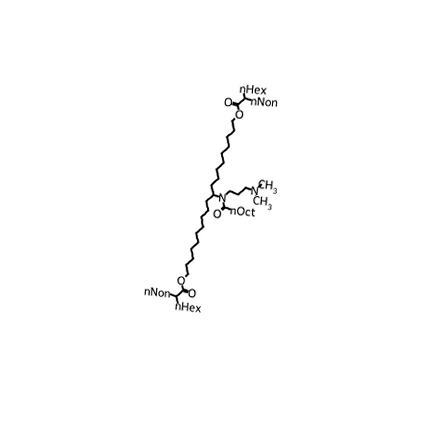 CCCCCCCCCC(CCCCCC)C(=O)OCCCCCCCCCCC(CCCCCCCCCOC(=O)C(CCCCCC)CCCCCCCCC)N(CCCN(C)C)C(=O)CCCCCCCC